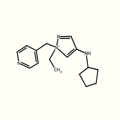 CC[N+]1(Cc2ccncc2)C=C(NC2CCCC2)C=N1